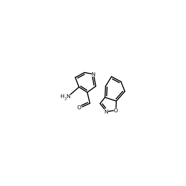 Nc1ccncc1C=O.c1ccc2oncc2c1